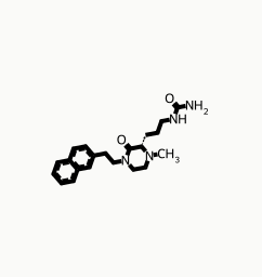 CN1CCN(CCc2ccc3ccccc3c2)C(=O)[C@@H]1CCCNC(N)=O